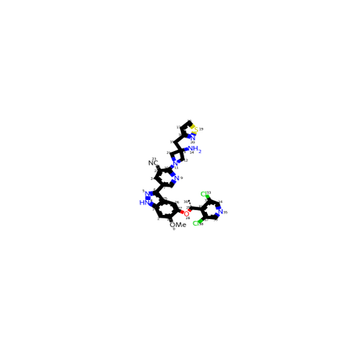 COc1cc2[nH]nc(-c3cnc(N4CC(N)(Cc5ccsn5)C4)c(C#N)c3)c2cc1O[C@H](C)c1c(Cl)cncc1Cl